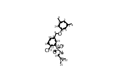 Cc1cc(C)cc(OCc2ccc(Cl)c(S(=O)(=O)/N=C/N(C)C)c2)c1